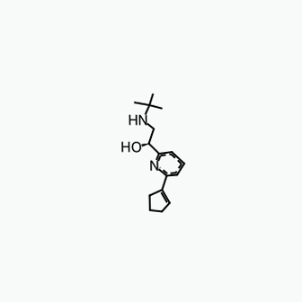 CC(C)(C)NC[C@H](O)c1cccc(C2=CCCC2)n1